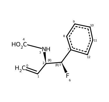 C=C[C@@H](NC(=O)O)[C@H](F)c1ccccc1